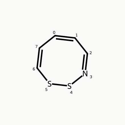 c1ccnsscc1